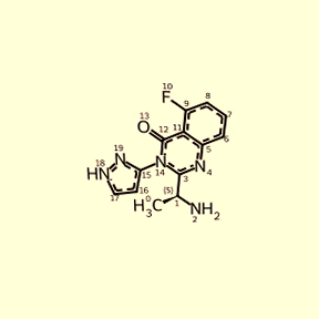 C[C@H](N)c1nc2cccc(F)c2c(=O)n1-c1cc[nH]n1